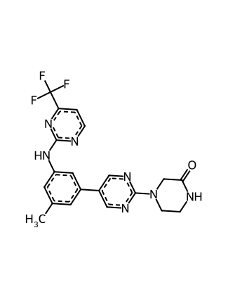 Cc1cc(Nc2nccc(C(F)(F)F)n2)cc(-c2cnc(N3CCNC(=O)C3)nc2)c1